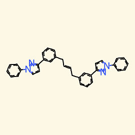 C(=CCc1cccc(-c2ccn(-c3ccccc3)n2)c1)Cc1cccc(-c2ccn(-c3ccccc3)n2)c1